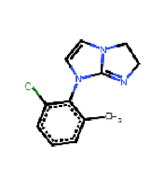 Cc1cccc(Cl)c1N1C=CN2CCN=C21